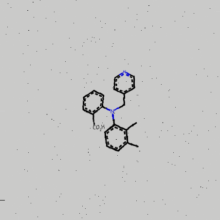 Cc1cccc(N(Cc2ccncc2)c2ccccc2C(=O)O)c1C